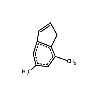 Cc1cc(C)c2c(c1)C=CC2